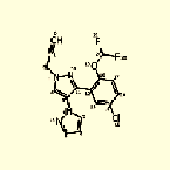 C#CCn1cc(-n2cccn2)c(-c2cc(Cl)ccc2OC(F)F)n1